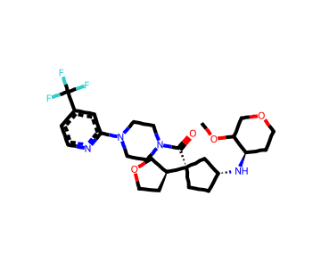 COC1COCC[C@H]1N[C@@H]1CC[C@@](C(=O)N2CCN(c3cc(C(F)(F)F)ccn3)CC2)([C@H]2CCOC2)C1